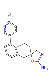 NC1=NCC2(CCc3c(cccc3-c3ccc(C(F)(F)F)nc3)C2)O1